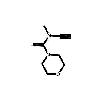 C#CN(C)C(=O)N1CCOCC1